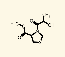 COC(=O)C1CSCN1C(=O)C(C)O